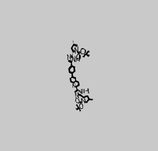 CC1CC(c2ncc(-c3ccc4cc(-c5ccc(-c6cnc([C@@H]7C[C@H](C)CN7C(=O)OC(C)(C)C)[nH]6)cc5)ccc4n3)[nH]2)N(C(=O)OC(C)(C)C)C1